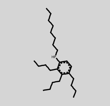 CCCCCCCCPc1ccc(CCCC)c(CCCC)c1CCCC